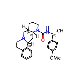 COc1ccc([C@@H](C)NC(=O)N2CCC[C@H]3CN4CCc5ccccc5[C@H]4C[C@H]32)cc1